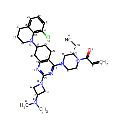 C=CC(=O)N1CCN(c2nc(N3CC(N(C)C)C3)nc3c2CCC(N2CCCc4cccc(Cl)c42)C3)C[C@@H]1CC#N